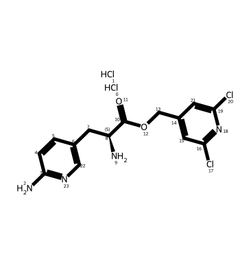 Cl.Cl.Nc1ccc(C[C@H](N)C(=O)OCc2cc(Cl)nc(Cl)c2)cn1